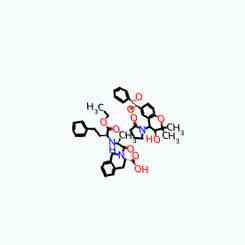 CC1(C)Oc2ccc(S(=O)(=O)c3ccccc3)cc2C(N2CCCC2=O)C1O.CCOC(=O)[C@H](CCc1ccccc1)N[C@@H](C)C(=O)N1Cc2ccccc2C[C@H]1C(=O)O